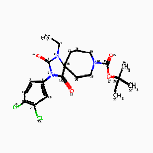 CCN1C(=O)N(c2ccc(Cl)c(Cl)c2)C(=O)C12CCCN(C(=O)OC(C)(C)C)CC2